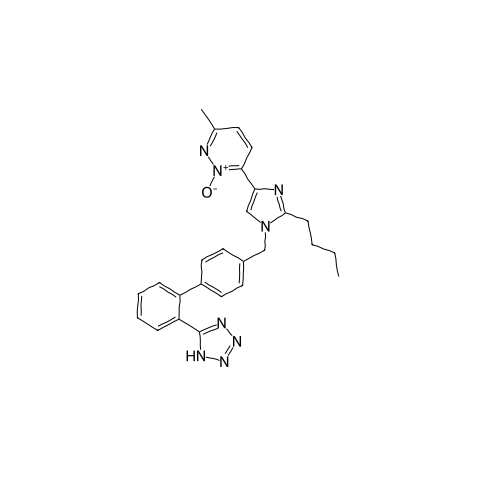 CCCCc1nc(-c2ccc(C)n[n+]2[O-])cn1Cc1ccc(-c2ccccc2-c2nnn[nH]2)cc1